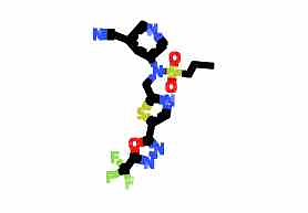 CCCS(=O)(=O)N(Cc1ncc(-c2nnc(C(F)(F)F)o2)s1)c1cncc(C#N)c1